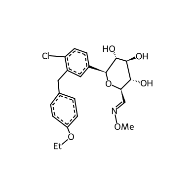 CCOc1ccc(Cc2cc([C@@H]3O[C@H](C=NOC)[C@@H](O)[C@H](O)[C@H]3O)ccc2Cl)cc1